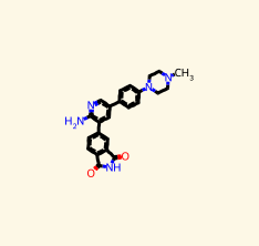 CN1CCN(c2ccc(-c3cnc(N)c(-c4ccc5c(c4)C(=O)NC5=O)c3)cc2)CC1